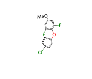 COc1cc(F)c(Oc2ccc(Cl)cc2)c(F)c1